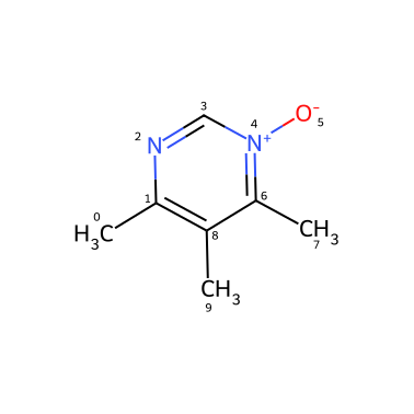 Cc1nc[n+]([O-])c(C)c1C